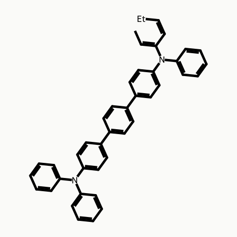 C/C=C(\C=C/CC)N(c1ccccc1)c1ccc(-c2ccc(-c3ccc(N(c4ccccc4)c4ccccc4)cc3)cc2)cc1